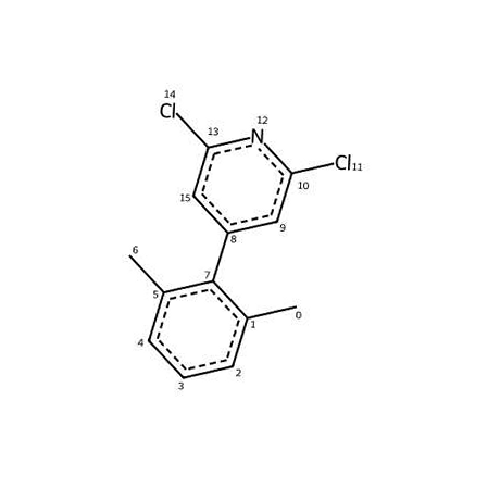 Cc1cccc(C)c1-c1cc(Cl)nc(Cl)c1